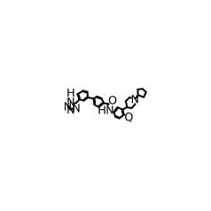 COc1ccc(NC(=O)c2ccc(-c3cccc(-c4nnn[nH]4)c3)cc2)cc1C1CCN(C2CCCC2)CC1